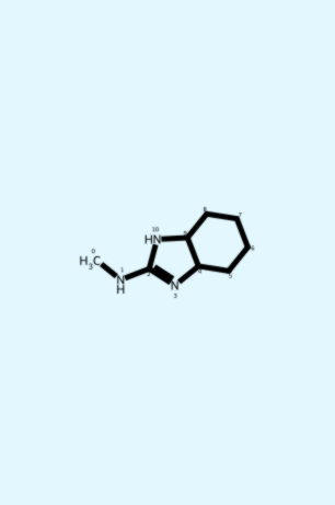 CNC1=NC2CCCCC2N1